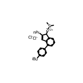 CCCC1=Cc2c(-c3ccc(C(C)CC)cc3)cccc2[CH]1[Zr+2][Si](C)C.[Cl-].[Cl-]